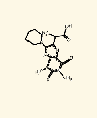 CC(C(=O)O)c1nc2c(=O)n(C)c(=O)n(C)c2nc1N1CCCCC1